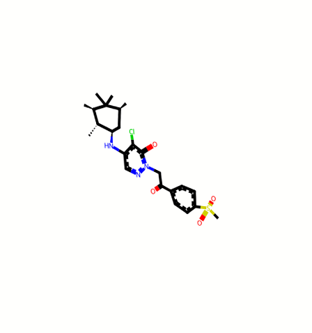 C[C@@H]1[C@@H](C)C(C)(C)[C@@H](C)C[C@H]1Nc1cnn(CC(=O)c2ccc(S(C)(=O)=O)cc2)c(=O)c1Cl